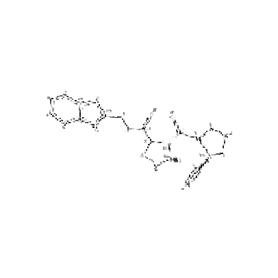 N#C[C@@H]1CSCN1C(=O)[C@@H]1NCCC1C(=O)CCc1cc2ccccc2o1